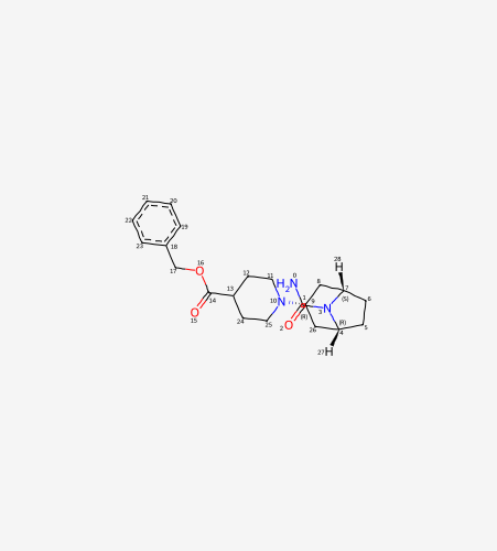 NC(=O)N1[C@@H]2CC[C@H]1C[C@@H](N1CCC(C(=O)OCc3ccccc3)CC1)C2